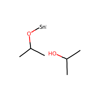 CC(C)O.CC(C)[O][Sn]